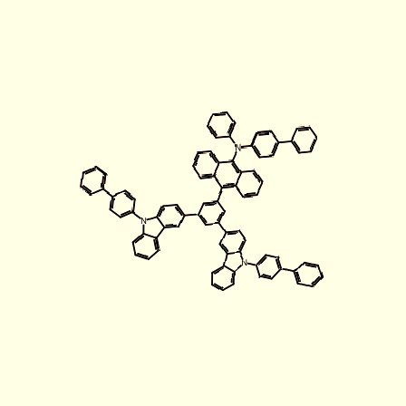 c1ccc(-c2ccc(N(c3ccccc3)c3c4ccccc4c(-c4cc(-c5ccc6c(c5)c5ccccc5n6-c5ccc(-c6ccccc6)cc5)cc(-c5ccc6c(c5)c5ccccc5n6-c5ccc(-c6ccccc6)cc5)c4)c4ccccc34)cc2)cc1